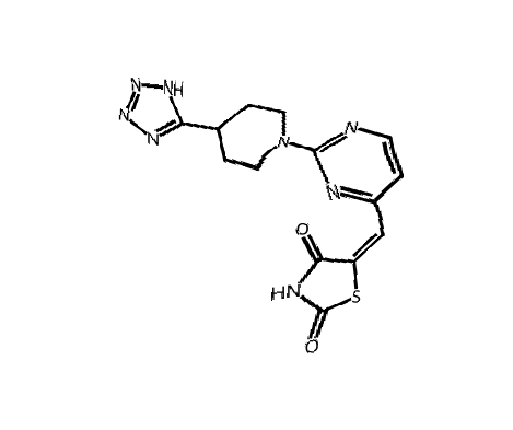 O=C1NC(=O)/C(=C\c2ccnc(N3CCC(c4nnn[nH]4)CC3)n2)S1